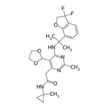 Cc1nc(CC(=O)NC2(C)CC2)c(C2OCCO2)c(NC(C)(C)c2cccc3c2OCC3(F)F)n1